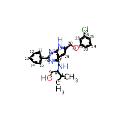 CC(C)[C@@H](CO)Nc1nc(-c2ccccc2)nc2[nH]c(COc3cccc(Cl)c3)cc12